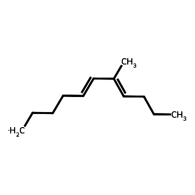 [CH2]CCCC=CC(C)=CCCC